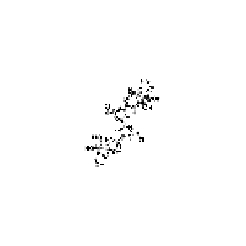 O=C(NC1C(O)[C@H](O)C(CO)O[C@@H]1O)c1cc(CCl)nc(-c2cc(C(=O)NC3C(O)[C@H](O)C(CO)O[C@@H]3O)cc(CCl)n2)c1